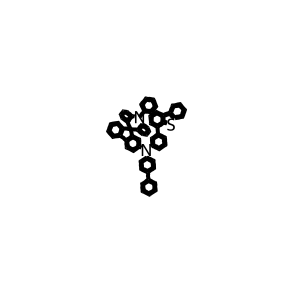 c1ccc(-c2ccc(N(c3cccc(-c4cccc5c4sc4ccccc45)c3)c3ccc4c(c3)C3(c5ccccc5-4)c4ccccc4N(c4ccccc4)c4ccccc43)cc2)cc1